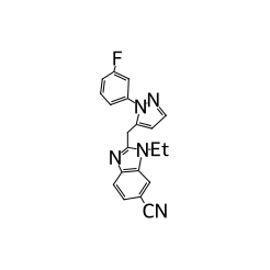 CCn1c(Cc2ccnn2-c2cccc(F)c2)nc2ccc(C#N)cc21